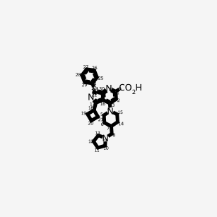 O=C(O)c1cc(N2CCC(CN3CCCC3)CC2)c2c(C3CCC3)nn(-c3ccccc3)c2n1